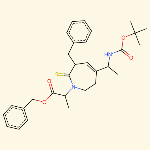 CC(NC(=O)OC(C)(C)C)C1=CC(Cc2ccccc2)C(=S)N(C(C)C(=O)OCc2ccccc2)CC1